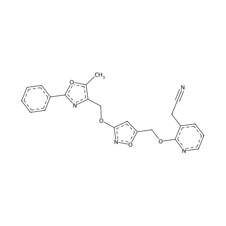 Cc1oc(-c2ccccc2)nc1COc1cc(COc2ncccc2CC#N)on1